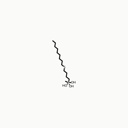 CCCCCCCCCSCCCCP(C)(O)(O)O